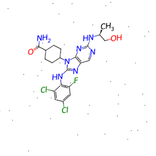 C[C@@H](CO)Nc1ncc2nc(Nc3c(F)cc(Cl)cc3Cl)n(C3CCC(C(N)=O)CC3)c2n1